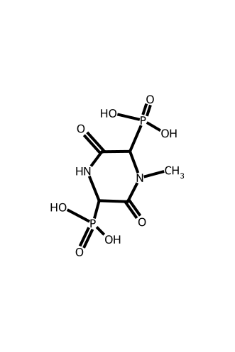 CN1C(=O)C(P(=O)(O)O)NC(=O)C1P(=O)(O)O